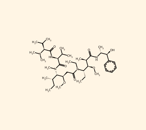 CC[C@H](C)[C@@H]([C@@H](CC(=O)N(CC)[C@@H](CC)[C@H](OC)[C@@H](C)C(=O)N[C@H](C)[C@@H](O)c1ccccc1)OC)N(C)C(=O)[C@@H](NC(=O)[C@H](C(C)C)N(C)C)C(C)C